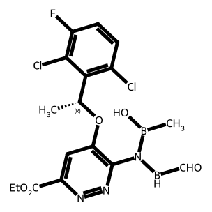 CCOC(=O)c1cc(O[C@H](C)c2c(Cl)ccc(F)c2Cl)c(N(BC=O)B(C)O)nn1